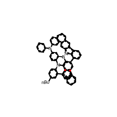 CCCCc1ccc(N2c3ccc(N(c4ccccc4)c4ccccc4)cc3B3c4c(cc5c(oc6ccccc65)c42)-c2cccc4c5cc6ccccc6cc5n3c24)c(-c2ccccc2)c1